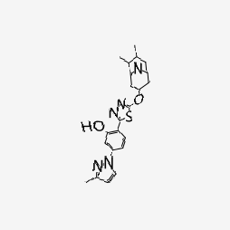 Cc1ccn(-c2ccc(-c3nnc(OC4CC5CC(C)C(C)C(C4)N5C)s3)c(O)c2)n1